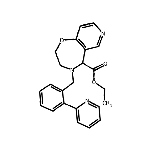 CCOC(=O)C1c2cnccc2OCCN1Cc1ccccc1-c1ccccn1